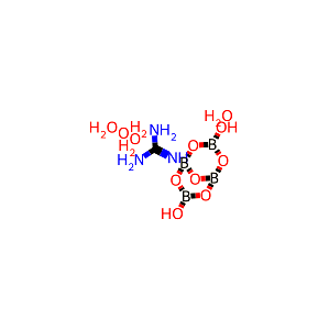 N=C(N)N.O.O.O.O.OB1OB2OB(O)OB(O1)O2